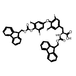 O=C(NC(Cc1cc(I)c(Oc2cc(I)c(OC(=O)OCC3c4ccccc4-c4ccccc43)c(I)c2)c(I)c1)C(=O)O)OCC1c2ccccc2-c2ccccc21